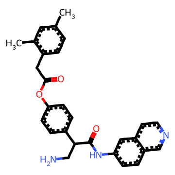 Cc1ccc(CC(=O)Oc2ccc(C(CN)C(=O)Nc3ccc4cnccc4c3)cc2)c(C)c1